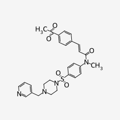 CN(C(=O)C=Cc1ccc(S(C)(=O)=O)cc1)c1ccc(S(=O)(=O)N2CCN(Cc3cccnc3)CC2)cc1